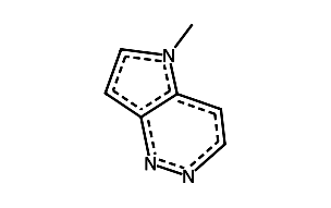 Cn1ccc2nnccc21